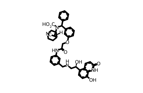 O=C(COc1cccc(C(c2ccccc2)N(C(=O)O)[C@H]2CN3CCC2CC3)c1)Nc1cccc(CNC[C@@H](O)c2ccc(O)c3[nH]c(=O)ccc23)c1